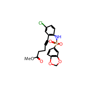 COC(=O)CCC#Cc1cc(Cl)ccc1NS(=O)(=O)c1ccc2c(c1)OCO2